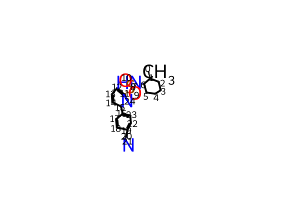 C[C@H]1CCCC[C@@H]1NS(=O)(=O)c1cccc(-c2ccc(C#N)cc2)n1